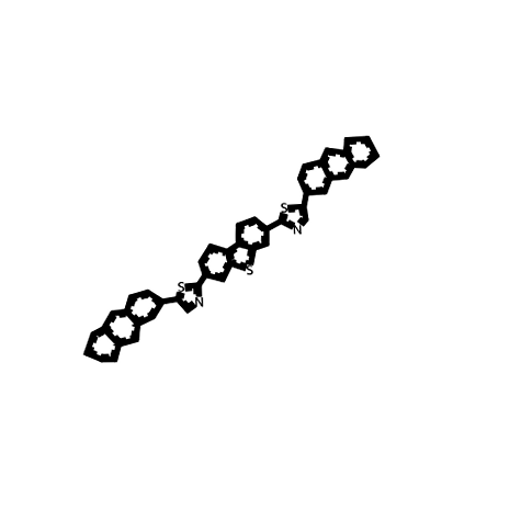 c1ccc2cc3cc(-c4cnc(-c5ccc6c(c5)sc5cc(-c7ncc(-c8ccc9cc%10ccccc%10cc9c8)s7)ccc56)s4)ccc3cc2c1